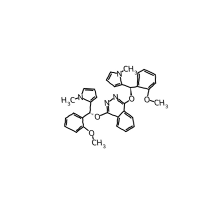 COc1ccccc1[C@@H](Oc1nnc(O[C@H](c2ccccc2OC)c2cccn2C)c2ccccc12)c1cccn1C